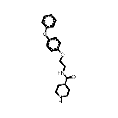 O=C(NCCOc1ccc(Oc2ccccc2)cc1)C1CCNCC1